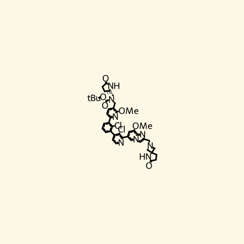 COc1nc(-c2cccc(-c3ccnc(-c4cc(OC)c5nc(CN6CC7(CCC(=O)N7)C6)cn5c4)c3Cl)c2Cl)ccc1CN(C[C@@H]1CCC(=O)N1)C(=O)OC(C)(C)C